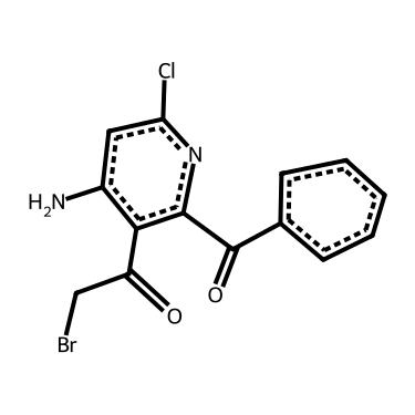 Nc1cc(Cl)nc(C(=O)c2ccccc2)c1C(=O)CBr